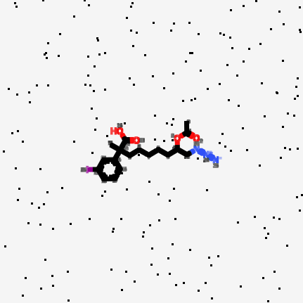 CC(=O)OC(CCCCCC(C)(C(=O)O)c1cccc(I)c1)CN=[N+]=[N-]